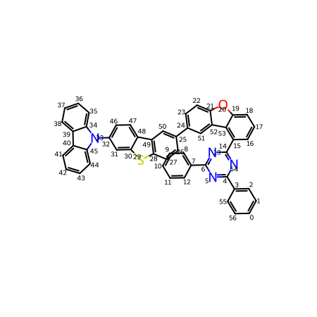 c1ccc(-c2nc(-c3ccccc3)nc(-c3cccc4oc5ccc(-c6ccc7sc8cc(-n9c%10ccccc%10c%10ccccc%109)ccc8c7c6)cc5c34)n2)cc1